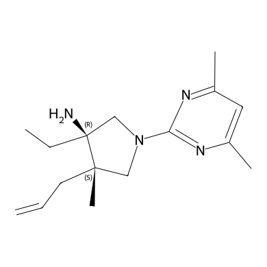 C=CC[C@@]1(C)CN(c2nc(C)cc(C)n2)C[C@@]1(N)CC